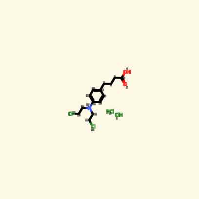 Cl.Cl.O=C(O)CCCc1ccc(N(CCCl)CCCl)cc1